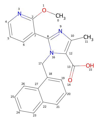 COc1ncccc1-c1nc(C)c(C(=O)O)n1Cc1cccc2ccccc12